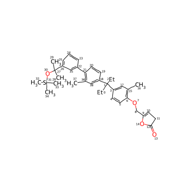 CCC(CC)(c1ccc(OCC2=CCC(=O)O2)c(C)c1)c1ccc(-c2cccc(C(C)(C)O[Si](C)(C)C)c2)c(C)c1